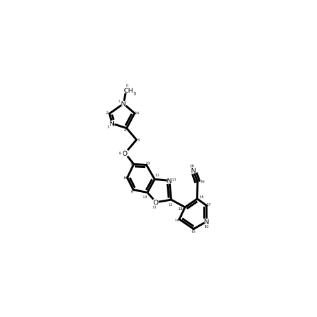 Cn1cnc(COc2ccc3oc(-c4ccncc4C#N)nc3c2)c1